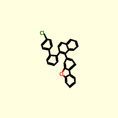 Clc1ccc(-c2ccccc2-c2ccc3ccccc3c2-c2ccc3c(c2)oc2ccccc23)cc1